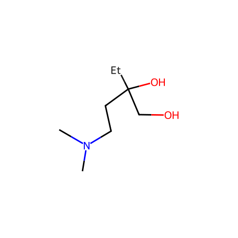 CCC(O)(CO)CCN(C)C